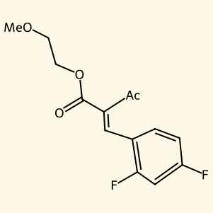 COCCOC(=O)/C(=C/c1ccc(F)cc1F)C(C)=O